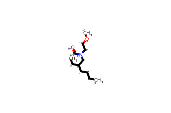 CCCCC(CC)CN(C=O)CCOC